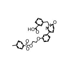 Cc1ccc(S(=O)(=O)OCCOc2cccc(-c3ccc(=O)n(Cc4cccc(C(=O)O)c4)n3)c2)cc1